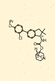 CC(C)Oc1ccc(-c2ccc3c(c2)CC(C)(C)[C@H]3NC(=O)O[C@@H]2CN3CCC2CC3)c(Cl)c1